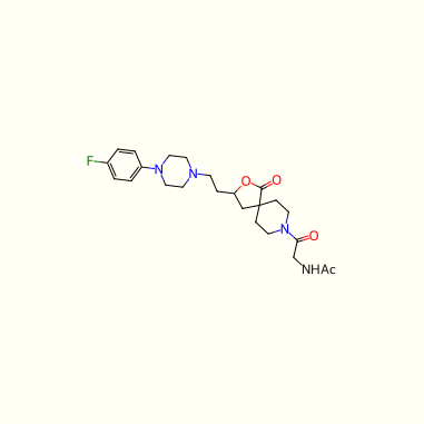 CC(=O)NCC(=O)N1CCC2(CC1)CC(CCN1CCN(c3ccc(F)cc3)CC1)OC2=O